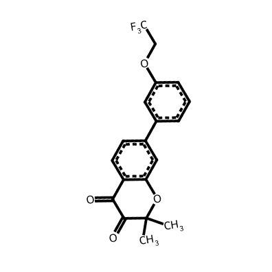 CC1(C)Oc2cc(-c3cccc(OCC(F)(F)F)c3)ccc2C(=O)C1=O